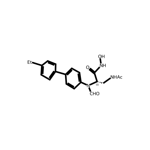 CCc1ccc(-c2ccc(N(C=O)[C@@H](CNC(C)=O)C(=O)NO)cc2)cc1